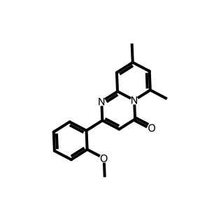 COc1ccccc1-c1cc(=O)n2c(C)cc(C)cc2n1